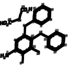 Cc1c(N)cc(Cc2ccccc2)c(Cc2ccccc2)c1C.O=C(O)CC(=O)O